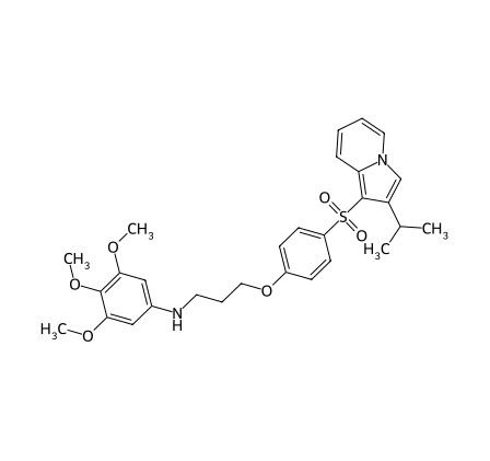 COc1cc(NCCCOc2ccc(S(=O)(=O)c3c(C(C)C)cn4ccccc34)cc2)cc(OC)c1OC